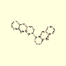 [c]1c(-c2cccc3nc4ccccc4cc23)ccc2cc3ccccc3nc12